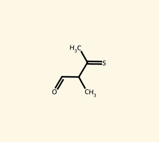 CC(=S)C(C)C=O